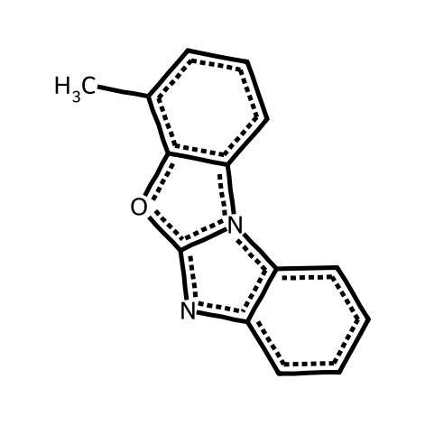 Cc1cccc2c1oc1nc3ccccc3n12